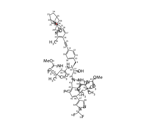 COC(=O)N[C@H](C(=O)N[C@@H](Cc1ccc(C#Cc2ccc(N3CC4CCC(C3)N4C3COC3)nc2C)cc1)[C@@H](O)CN(Cc1c(F)cc(-c2cnn(C(F)F)c2)cc1F)NC(=O)[C@@H](NC(=O)OC)C(C)(C)C(F)(F)F)C(C)(C)C(F)(F)F